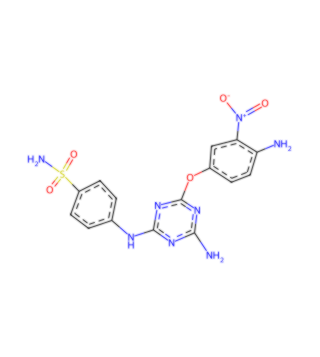 Nc1nc(Nc2ccc(S(N)(=O)=O)cc2)nc(Oc2ccc(N)c([N+](=O)[O-])c2)n1